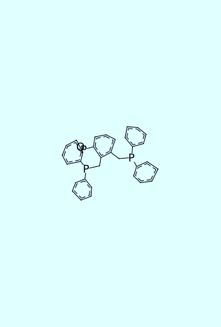 O=Pc1cccc(CP(c2ccccc2)c2ccccc2)c1CP(c1ccccc1)c1ccccc1